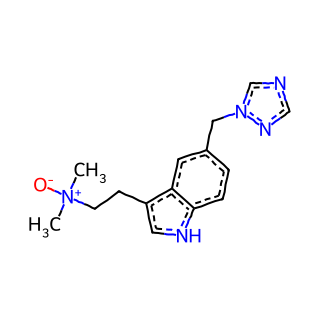 C[N+](C)([O-])CCc1c[nH]c2ccc(Cn3cncn3)cc12